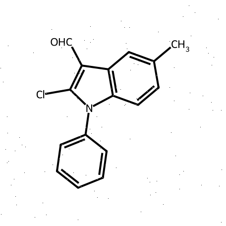 Cc1ccc2c(c1)c(C=O)c(Cl)n2-c1ccccc1